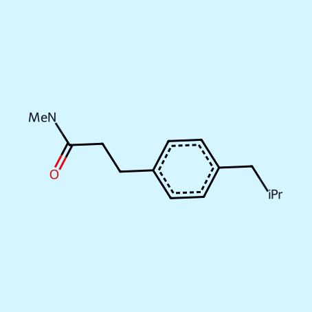 CNC(=O)CCc1ccc(CC(C)C)cc1